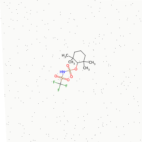 CC1(C)CCCC(C)(C)C1OS(=O)(=O)NS(=O)(=O)C(F)(F)F